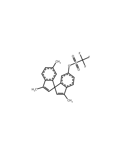 CC1=CC2(C=C(C)c3ccc(OS(=O)(=O)C(F)(F)F)cc32)c2cc(C)ccc21